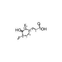 O=C(O)C=Cc1ccc(F)c(O)c1F